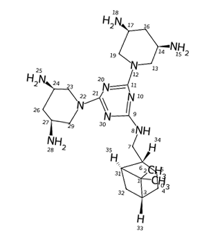 CC1(C)[C@@H]2CC[C@@H](CNc3nc(N4C[C@H](N)C[C@H](N)C4)nc(N4C[C@H](N)C[C@H](N)C4)n3)[C@@H]1C2